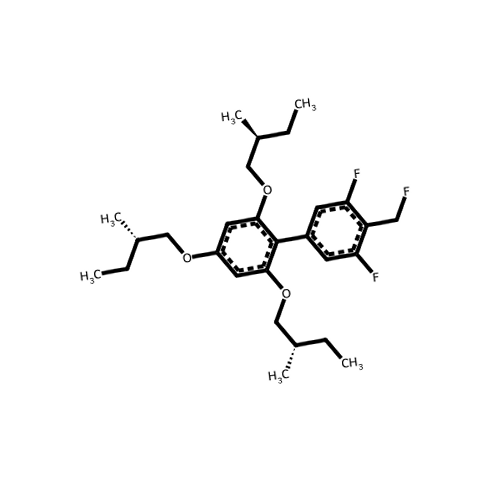 CC[C@H](C)COc1cc(OC[C@@H](C)CC)c(-c2cc(F)c(CF)c(F)c2)c(OC[C@@H](C)CC)c1